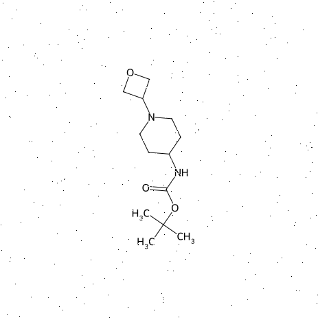 CC(C)(C)OC(=O)NC1CCN(C2COC2)CC1